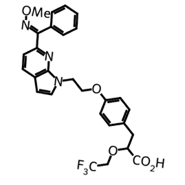 CON=C(c1ccccc1)c1ccc2ccn(CCOc3ccc(CC(OCC(F)(F)F)C(=O)O)cc3)c2n1